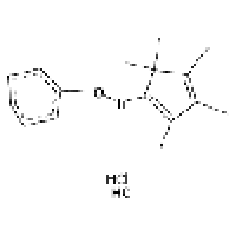 CC1=C(C)C(C)(C)[C]([Ti][O]c2ccccc2)=C1C.Cl.Cl